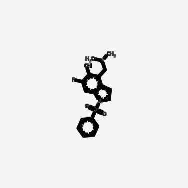 CN(C)Cc1c(O)c(F)cc2c1ccn2S(=O)(=O)c1ccccc1